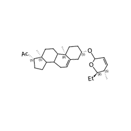 CC[C@H]1OC(O[C@H]2CC[C@@]3(C)C(=CCC4C3CC[C@@]3(C)C4CC[C@@H]3C(C)=O)C2)C=C[C@@H]1C